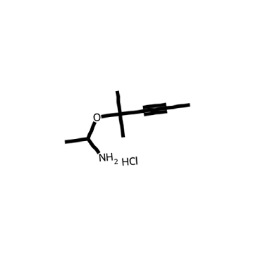 CC#CC(C)(C)OC(C)N.Cl